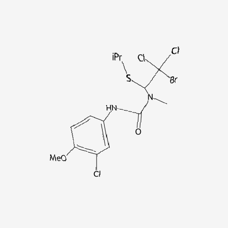 COc1ccc(NC(=O)N(C)C(SC(C)C)C(Cl)(Cl)Br)cc1Cl